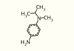 CC(C)N(C)c1ccc(N)cc1